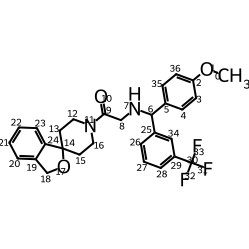 COc1ccc(C(NCC(=O)N2CCC3(CC2)OCc2ccccc23)c2cccc(C(F)(F)F)c2)cc1